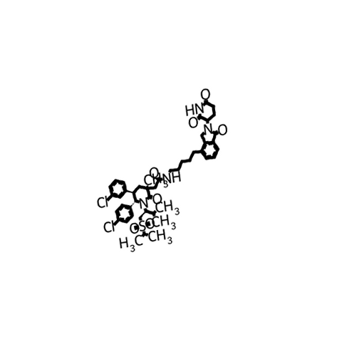 CC(C)[C@@H](CS(=O)(=O)C(C)C)N1C(=O)[C@@](C)(CC(=O)NCCCCCc2cccc3c2CN(C2CCC(=O)NC2=O)C3=O)C[C@H](c2cccc(Cl)c2)[C@H]1c1ccc(Cl)cc1